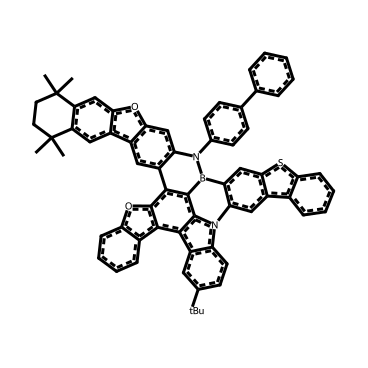 CC(C)(C)c1ccc2c(c1)c1c3c(oc4ccccc43)c3c4c1n2-c1cc2c(cc1B4N(c1ccc(-c4ccccc4)cc1)c1cc4oc5cc6c(cc5c4cc1-3)C(C)(C)CCC6(C)C)sc1ccccc12